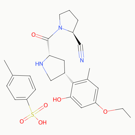 CCOc1cc(C)c([C@@H]2CN[C@H](C(=O)N3CCC[C@H]3C#N)C2)c(O)c1.Cc1ccc(S(=O)(=O)O)cc1